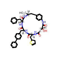 O=C1C[C@@H](O)C(=O)Nc2ccc(cc2)C[C@H](C(=O)O)NC(=O)[C@@H](Cc2ccccc2)NC(=O)[C@H](Cc2ccc(-c3ccccc3)cc2)NC(=O)[C@H](CC2CC=CS2)N1